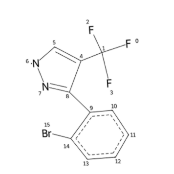 FC(F)(F)C1=C[N]N=C1c1ccccc1Br